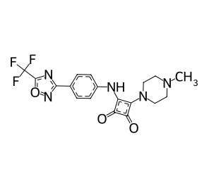 CN1CCN(c2c(Nc3ccc(-c4noc(C(F)(F)F)n4)cc3)c(=O)c2=O)CC1